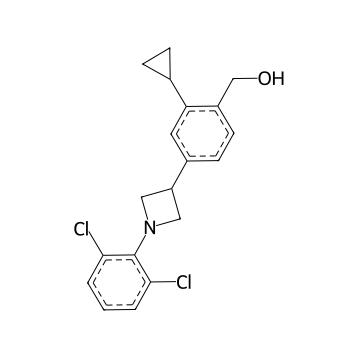 OCc1ccc(C2CN(c3c(Cl)cccc3Cl)C2)cc1C1CC1